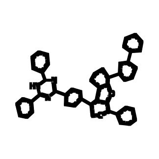 c1ccc(C2=NC(c3ccc(-c4ccc(-c5ccccc5)c5oc6c(-c7cccc(-c8ccccc8)c7)cccc6c45)cc3)=NC(c3ccccc3)N2)cc1